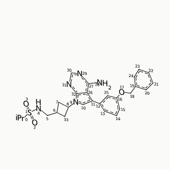 CC(C)S(=O)(=O)NCC1CC(n2cc(-c3cccc(OCc4ccccc4)c3)c3c(N)ncnc32)C1